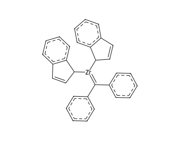 C1=C[CH]([Zr](=[C](c2ccccc2)c2ccccc2)[CH]2C=Cc3ccccc32)c2ccccc21